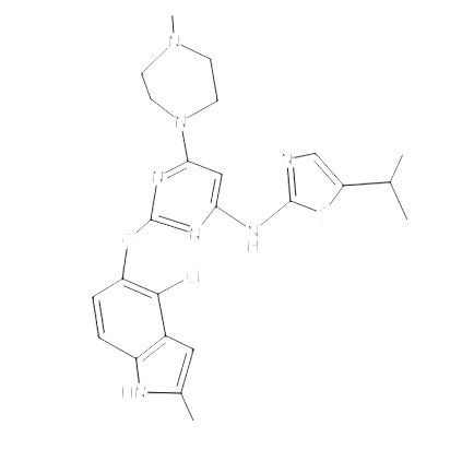 Cc1cc2c(Cl)c(Oc3nc(Nc4ncc(C(C)C)s4)cc(N4CCN(C)CC4)n3)ccc2[nH]1